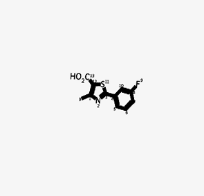 Cc1nc(-c2cccc(F)c2)sc1C(=O)O